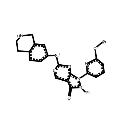 CC(C)Oc1cccc(-n2c3nc(Nc4ccc5c(c4)CNCC5)ncc3c(=O)n2C(C)C)n1